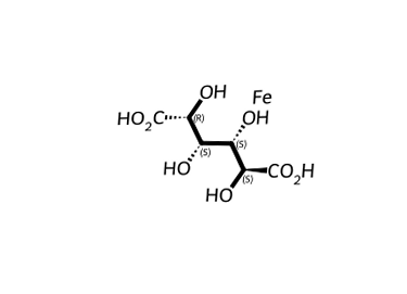 O=C(O)[C@@H](O)[C@@H](O)[C@H](O)[C@@H](O)C(=O)O.[Fe]